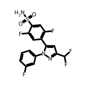 NS(=O)(=O)c1cc(F)c(-c2cc(C(F)F)nn2-c2cccc(F)c2)cc1F